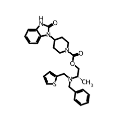 C[C@@H](COC(=O)N1CCC(n2c(=O)[nH]c3ccccc32)CC1)N(Cc1ccccc1)Cc1cccs1